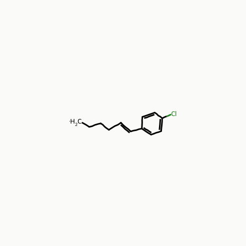 [CH2]CCCC=Cc1ccc(Cl)cc1